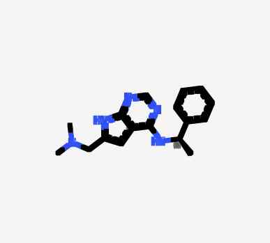 C[C@@H](Nc1ncnc2[nH]c(CN(C)C)cc12)c1ccccc1